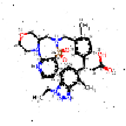 CCn1nnc2c(C)c([C@@H](CC(=O)O)c3ccc(C)c(CN4CC5COCCN5c5ncccc5S4(=O)=O)c3)ccc21